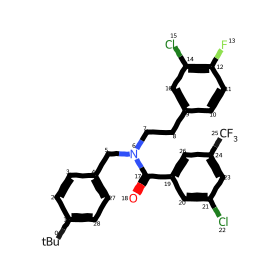 CC(C)(C)c1ccc(CN(CCc2ccc(F)c(Cl)c2)C(=O)c2cc(Cl)cc(C(F)(F)F)c2)cc1